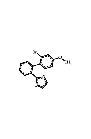 COc1ccc(-c2ccccc2-c2ncco2)c(Br)c1